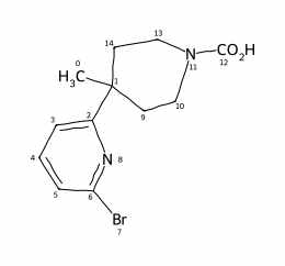 CC1(c2cccc(Br)n2)CCN(C(=O)O)CC1